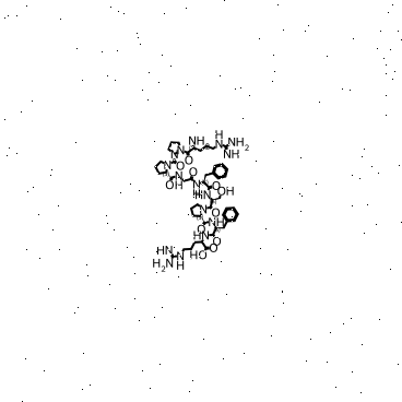 N=C(N)NCCCC(NC(=O)[C@H](Cc1ccccc1)NC(=O)[C@@H]1CCCN1C(=O)[C@H](CO)NC(=O)[C@H](Cc1ccccc1)NC(=O)CNC(=O)[C@@H]1CCCN1C(=O)N1CCCN1C(=O)[C@@H](N)CCCNC(=N)N)C(=O)O